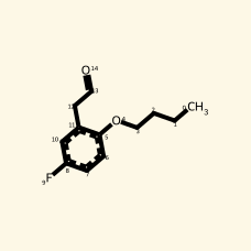 CCCCOc1ccc(F)cc1CC=O